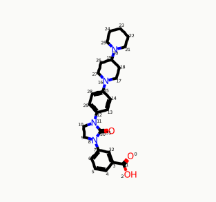 O=C(O)c1cccc(N2CCN(c3ccc(N4CCC(N5CCCCC5)CC4)cc3)C2=O)c1